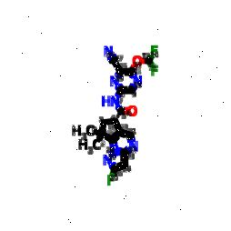 CC1(C)C[C@H](C(=O)Nc2cnc(OC(F)F)c(C#N)n2)c2cnc3cc(F)nn3c21